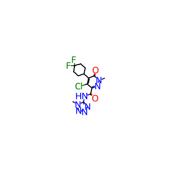 Cn1nnnc1NC(=O)c1nn(C)c(=O)c(C2CCC(F)(F)CC2)c1Cl